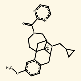 COc1ccc2c(c1)C13CCN(C(=O)c4ncccn4)CCC1(O)C(C2)N(CC1CC1)CC3